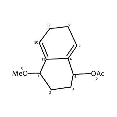 COC1CCC(OC(C)=O)C2=CCCC=C21